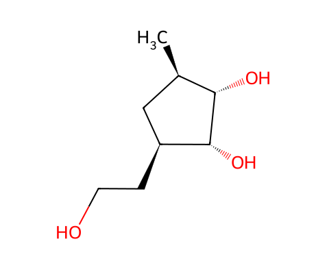 C[C@@H]1C[C@H](CCO)[C@@H](O)[C@H]1O